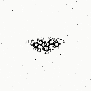 CC12CCC(C)(C1)c1c2ncc2c1c1cccc3c4c5c(ncc4n2c13)C1(C)CCC5(C)C1